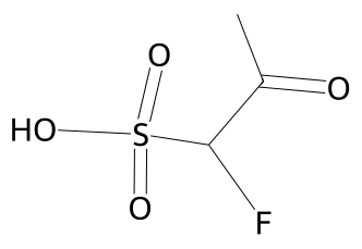 CC(=O)C(F)S(=O)(=O)O